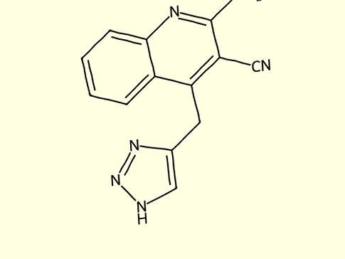 N#Cc1c(N)nc2ccccc2c1Cc1c[nH]nn1